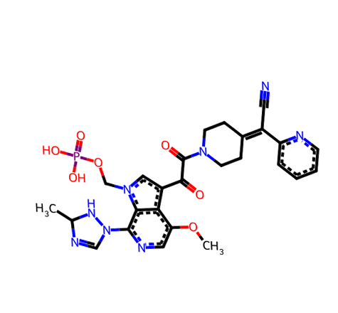 COc1cnc(N2C=NC(C)N2)c2c1c(C(=O)C(=O)N1CCC(=C(C#N)c3ccccn3)CC1)cn2COP(=O)(O)O